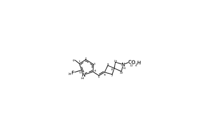 Cc1ccc(C=C2CC3(C2)CN(C(=O)O)C3)nc1F